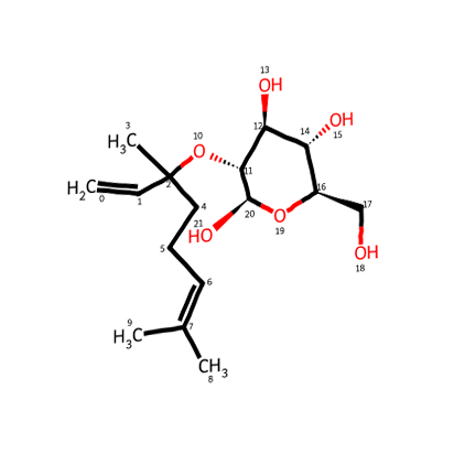 C=CC(C)(CCC=C(C)C)O[C@@H]1[C@@H](O)[C@H](O)[C@@H](CO)O[C@H]1O